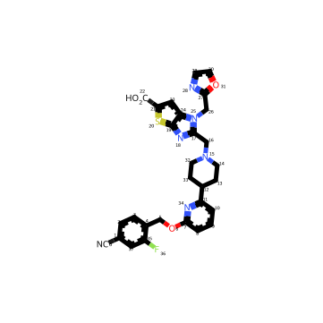 N#Cc1ccc(COc2cccc(C3CCN(Cc4nc5sc(C(=O)O)cc5n4Cc4ncco4)CC3)n2)c(F)c1